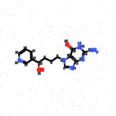 Nc1nc2ncn(CCCC(O)c3cccnc3)c2c(=O)[nH]1